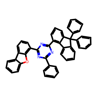 c1ccc(-c2nc(-c3cccc4c3-c3ccccc3C4(c3ccccc3)c3ccccc3)nc(-c3cccc4c3oc3ccccc34)n2)cc1